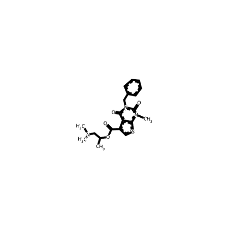 CC(CN(C)C)OC(=O)c1csc2c1c(=O)n(Cc1ccccc1)c(=O)n2C